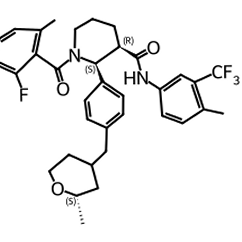 Cc1ccc(NC(=O)[C@@H]2CCCN(C(=O)c3c(C)cccc3F)[C@@H]2c2ccc(CC3CCO[C@@H](C)C3)cc2)cc1C(F)(F)F